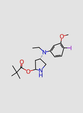 CCN(c1ccc(I)c(OC)c1)[C@@H]1CNC(OC(=O)C(C)(C)C)C1